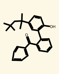 CC(C)(C)CC(C)(C)c1ccc(O)c(-c2ccccc2C(=O)c2ccccc2)c1